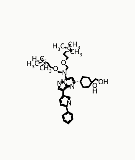 C[Si](C)(C)CCOCN(COCC[Si](C)(C)C)c1cc([C@H]2CC[C@@](O)(CO)CC2)nc2c(-c3ccc(-c4ccccc4)nc3)cnn12